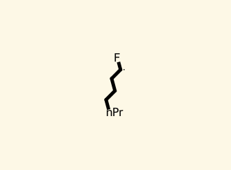 CCCCCC[CH]F